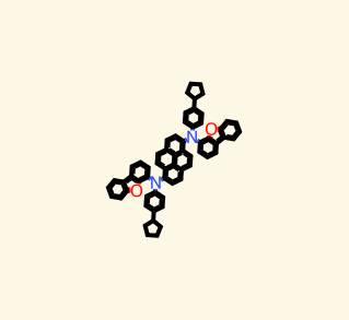 c1ccc2c(c1)oc1c(N(c3ccc(C4CCCC4)cc3)c3ccc4ccc5c(N(c6ccc(C7CCCC7)cc6)c6cccc7c6oc6ccccc67)ccc6ccc3c4c65)cccc12